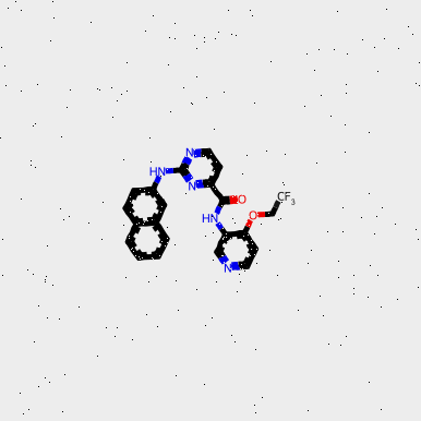 O=C(Nc1cnccc1OCC(F)(F)F)c1ccnc(Nc2ccc3ccccc3c2)n1